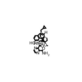 COC12CC[C@@]3(C[C@@H]1CNC(=O)c1nccnc1C(N)=O)[C@H]1Cc4ccc(O)c5c4[C@@]3(CCN1CC1CC1)C2O5